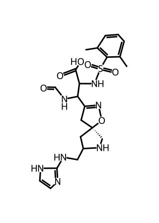 Cc1cccc(C)c1S(=O)(=O)NC(C(=O)O)C(NC=O)C1=NO[C@]2(CNC(CNc3ncc[nH]3)C2)C1